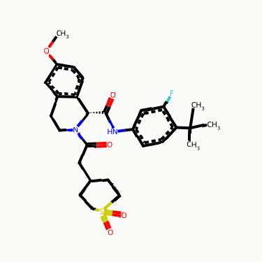 COc1ccc2c(c1)CCN(C(=O)CC1CCS(=O)(=O)CC1)[C@H]2C(=O)Nc1ccc(C(C)(C)C)c(F)c1